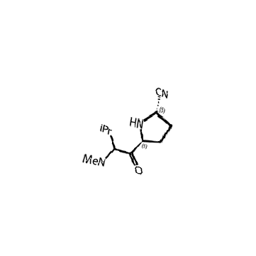 CNC(C(=O)[C@@H]1CC[C@@H](C#N)N1)C(C)C